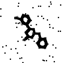 O=C1C=C(c2cccc(Cl)c2)CN(Cc2ccccc2)C1